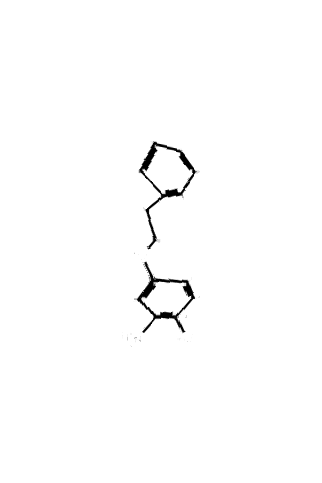 Nc1cc(OCCc2ccccc2)ccc1Cl